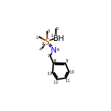 CBS(C)(C)(C)=NCc1ccccc1